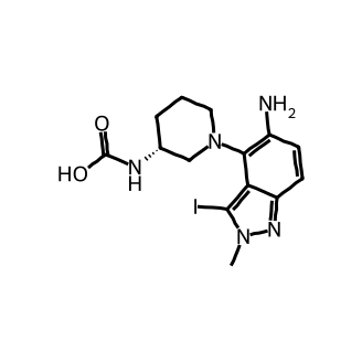 Cn1nc2ccc(N)c(N3CCC[C@@H](NC(=O)O)C3)c2c1I